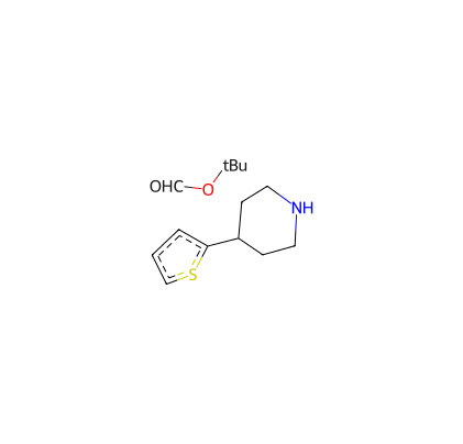 CC(C)(C)OC=O.c1csc(C2CCNCC2)c1